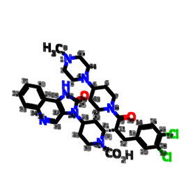 CN1CCN(C2CCN(C(=O)C(Cc3ccc(Cl)c(Cl)c3)[C@H]3CC(n4c(=O)[nH]c5c6ccccc6ncc54)CCN3C(=O)O)CC2)CC1